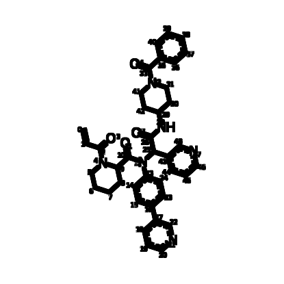 C=CC(=O)N1CCCCC1C(=O)N(c1ccc(-c2cccnc2)cc1)C(C(=O)NC1CCN(C(=O)c2ccccc2)CC1)c1cccnc1